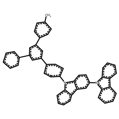 Cc1ccc(-c2cc(-c3ccccc3)cc(-c3ccc(-n4c5ccccc5c5cc(-n6c7ccccc7c7ccccc76)ccc54)cc3)c2)cc1